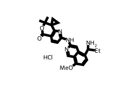 CCC(N)c1ccc(OC)c2cnc(Nc3ccc4c(n3)C3(CC3)C(C)(C)OC4=O)cc12.Cl